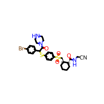 N#CCNC(=O)[C@@H]1CCCC[C@H]1CS(=O)(=O)c1ccc(SC(C(=O)N2CCNCC2)c2ccc(Br)cc2)cc1